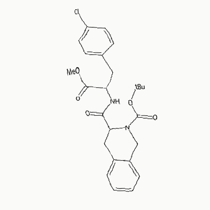 COC(=O)C(Cc1ccc(Cl)cc1)NC(=O)C1Cc2ccccc2CN1C(=O)OC(C)(C)C